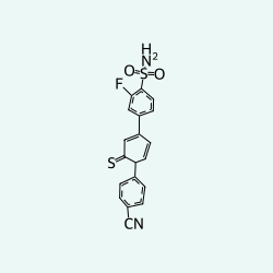 N#Cc1ccc(C2C=CC(c3ccc(S(N)(=O)=O)c(F)c3)=CC2=S)cc1